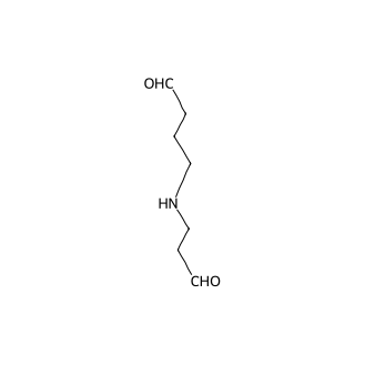 O=CCCCNCCC=O